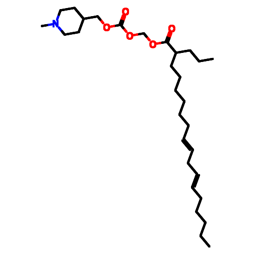 CCCCCC=CCC=CCCCCCCC(CCC)C(=O)OCOC(=O)OCC1CCN(C)CC1